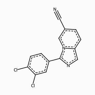 N#Cc1ccc2cnc(-c3ccc(Cl)c(Cl)c3)n2c1